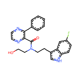 O=C(c1nccnc1-c1ccccc1)N(CCO)CCc1c[nH]c2ccc(F)cc12